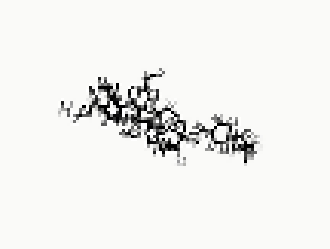 CCC(=O)O[C@@H](c1ccc2c(N)ncnn12)[C@H](OC(=O)CC)[C@@](C#N)(CO[PH](=O)N[C@@H](C)C(=O)OCC1CCN(CC(F)(F)F)CC1)OC